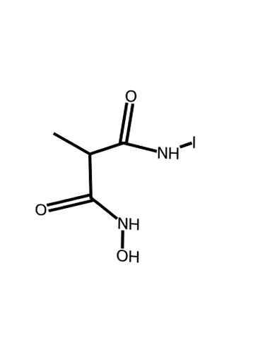 CC(C(=O)NO)C(=O)NI